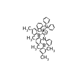 Cc1cc(C)c(B2c3ccccc3N3c4ccc([Si](c5ccccc5)(c5ccccc5)c5ccccc5)cc4B(c4c(C)cc(C)cc4C)c4cccc2c43)c(C)c1